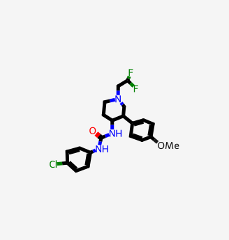 COc1ccc(C2CN(CC(F)F)CCC2NC(=O)Nc2ccc(Cl)cc2)cc1